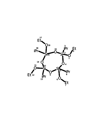 CCO[Si]1(C(C)C)O[Si](OCC)(C(C)C)O[Si](OCC)(C(C)C)O[Si](OCC)(C(C)C)O1